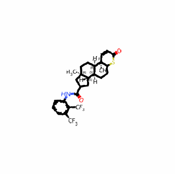 C[C@]12CC[C@@H]3[C@@H](CCC4SC(=O)C=C[C@@]43C)[C@@H]1CC(C(=O)Nc1cccc(C(F)(F)F)c1C(F)(F)F)C2